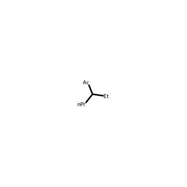 CCCC(CC)C(C)=O